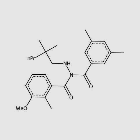 CCCC(C)(C)CNN(C(=O)c1cc(C)cc(C)c1)C(=O)c1cccc(OC)c1C